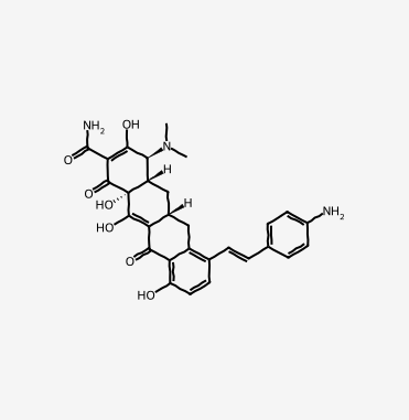 CN(C)[C@@H]1C(O)=C(C(N)=O)C(=O)[C@]2(O)C(O)=C3C(=O)c4c(O)ccc(/C=C/c5ccc(N)cc5)c4C[C@H]3C[C@@H]12